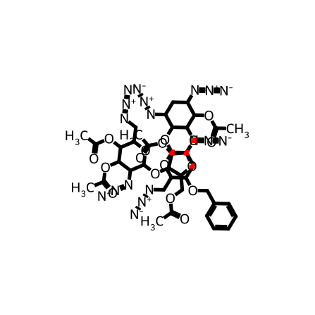 CC(=O)OCC1OC(OC2C(OC(C)=O)C(N=[N+]=[N-])CC(N=[N+]=[N-])C2OC2OC(CN=[N+]=[N-])C(OCc3ccccc3)CC2N=[N+]=[N-])C(OC(C)=O)C1OC1OC(CN=[N+]=[N-])C(OC(C)=O)C(OC(C)=O)C1N=[N+]=[N-]